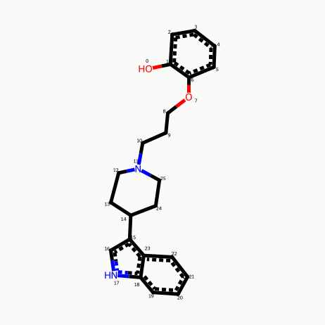 Oc1ccccc1OCCCN1CCC(c2c[nH]c3ccccc23)CC1